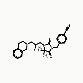 CC1(C)C(=O)N(Cc2ccc(C#N)cc2)C(=O)N1CC(O)CN1CCc2ccccc2C1